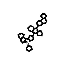 c1ccc(-n2c3ccc(-c4c5ccccc5c(-c5ccc6c(ccc7ccccc76)c5)c5ccccc45)cc3c3c4ccccc4ccc32)cc1